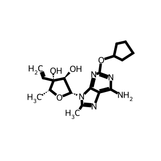 C=C[C@]1(O)[C@@H](C)O[C@@H](n2c(C)nc3c(N)nc(OC4CCCC4)nc32)[C@@H]1O